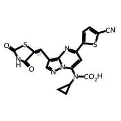 N#Cc1ccc(-c2cc(N(C(=O)O)C3CC3)n3ncc(/C=C4/SC(=O)NC4=O)c3n2)s1